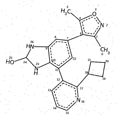 Cc1noc(C)c1-c1cc2c(c(-c3cccnc3C3CCC3)c1)NC(O)N2